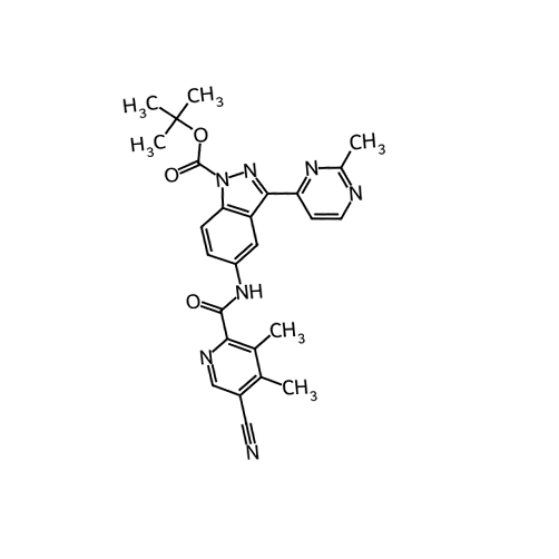 Cc1nccc(-c2nn(C(=O)OC(C)(C)C)c3ccc(NC(=O)c4ncc(C#N)c(C)c4C)cc23)n1